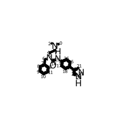 CN(C)CCN(Cc1ccccc1)C(=O)Nc1ccc(-c2cn[nH]c2)cc1